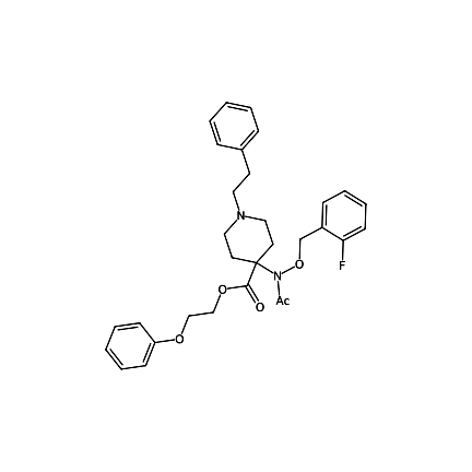 CC(=O)N(OCc1ccccc1F)C1(C(=O)OCCOc2ccccc2)CCN(CCc2ccccc2)CC1